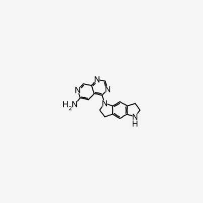 Nc1cc2c(N3CCc4cc5c(cc43)CCN5)ncnc2cn1